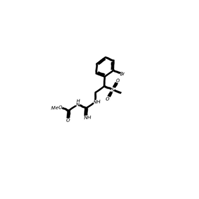 COC(=O)NC(=N)NCC(c1ccccc1Br)S(C)(=O)=O